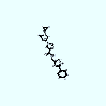 O=C(NCc1nnc(-c2ccccc2)s1)c1cn([C@@H]2CC(=O)N(C3CC3)C2)nn1